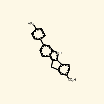 CCCCc1ccc(-c2ccc3c4c([nH]c3c2)-c2ccc(C(=O)O)cc2C4)cc1